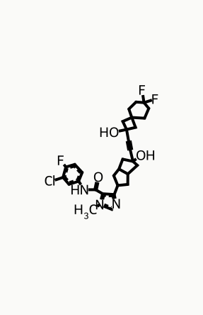 Cn1cnc(C2CC3CC(O)(C#CC4(O)CC5(CCC(F)(F)CC5)C4)CC3C2)c1C(=O)Nc1ccc(F)c(Cl)c1